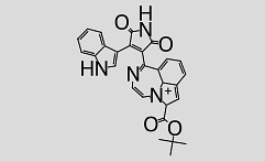 CC(C)(C)OC(=O)C1C=C2C=CC=C3C(C4=C(c5c[nH]c6ccccc56)C(=O)NC4=O)=NC=C[N+]1(C)C23